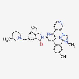 C[C@H]1CCCN(Cc2cc3c(c(C(F)(F)F)c2)CN(c2cc(-c4ccc(C#N)cc4-c4nncn4C)cc(-c4ccncc4)n2)C3=O)C1